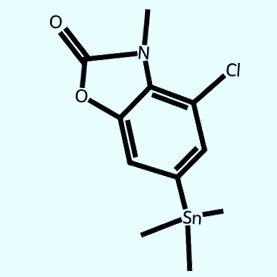 Cn1c(=O)oc2c[c]([Sn]([CH3])([CH3])[CH3])cc(Cl)c21